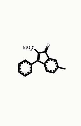 CCOC(=O)C1=C(c2ccccc2)c2ccc(C)cc2C1=O